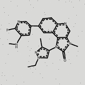 CCn1cc(-n2c(=O)n(C)c3cnc4ccc(-c5cnc(F)c(NC)c5)cc4c32)c(C)n1